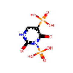 O=c1[nH]cc(P(=O)(O)O)c(=O)n1P(=O)(O)O